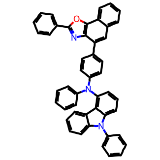 c1ccc(-c2nc3c(-c4ccc(N(c5ccccc5)c5cccc6c5c5ccccc5n6-c5ccccc5)cc4)cc4ccccc4c3o2)cc1